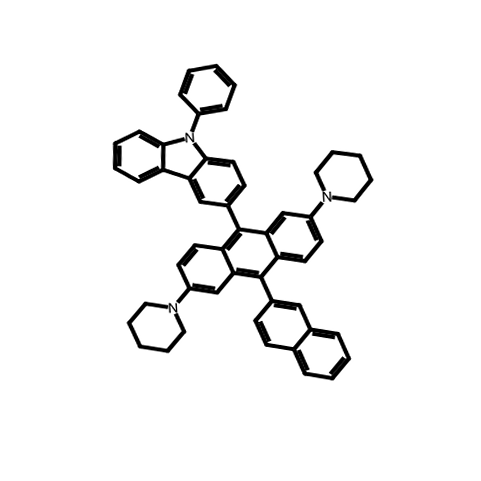 c1ccc(-n2c3ccccc3c3cc(-c4c5ccc(N6CCCCC6)cc5c(-c5ccc6ccccc6c5)c5ccc(N6CCCCC6)cc45)ccc32)cc1